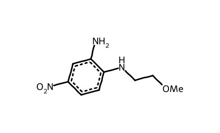 COCCNc1ccc([N+](=O)[O-])cc1N